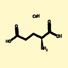 N[C@@H](CCC(=O)O)C(=O)O.[CsH]